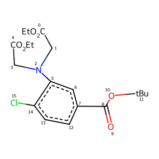 CCOC(=O)CN(CC(=O)OCC)c1cc(C(=O)OC(C)(C)C)ccc1Cl